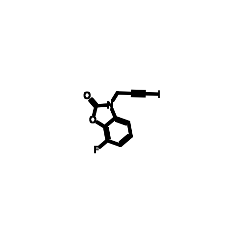 O=c1oc2c(F)cccc2n1CC#CI